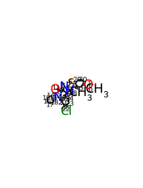 COc1ccc(Sc2nc3c(=O)n(-c4ccccc4)c4cc(Cl)ccc4c3n2C)cc1